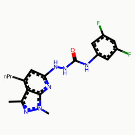 CCCc1cc(NNC(=O)Nc2cc(F)cc(F)c2)nc2c1c(C)nn2C